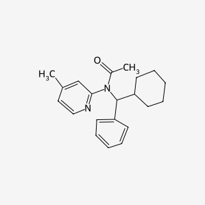 CC(=O)N(c1cc(C)ccn1)C(c1ccccc1)C1CCCCC1